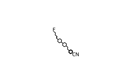 N#Cc1ccc(CCC2CCC(C3CCC(/C=C/CCCF)CC3)CC2)cc1